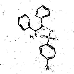 Nc1ccc(S(=O)(=O)N[C@@H](c2ccccc2)[C@@H](N)c2ccccc2)cc1